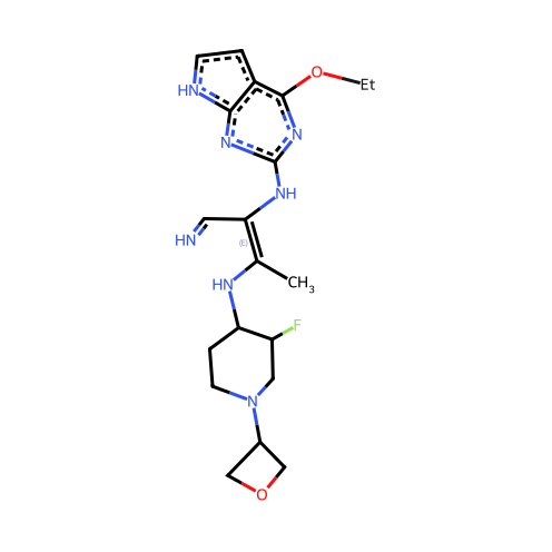 CCOc1nc(N/C(C=N)=C(\C)NC2CCN(C3COC3)CC2F)nc2[nH]ccc12